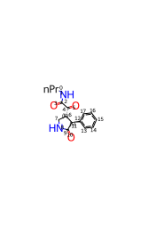 CCCNC(=O)C(=O)[C@H]1CNC(=O)[C@@H]1c1ccccc1